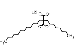 CCCCCCCCCCCCC(CCCCCCCC)(C(=O)[O-])C(=O)[O-].[Li+].[Li+]